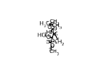 C=CC1CC1(NC(=O)OC(C)(C)C)C(=O)OC(=O)OCC.Cl